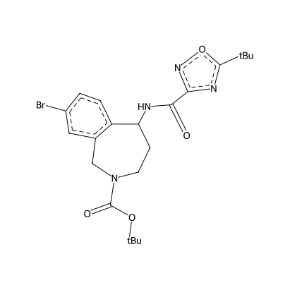 CC(C)(C)OC(=O)N1CCC(NC(=O)c2noc(C(C)(C)C)n2)c2ccc(Br)cc2C1